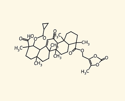 Cc1oc(=O)oc1COC(=O)C1(C)CCCC2(C)C1CCC1(C)C2C(=O)C=C2C3C(OC(=O)C4CC4)C(C)(C(=O)O)CCC3(C)CCC21C